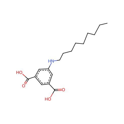 CCCCCCCCCNc1cc(C(=O)O)cc(C(=O)O)c1